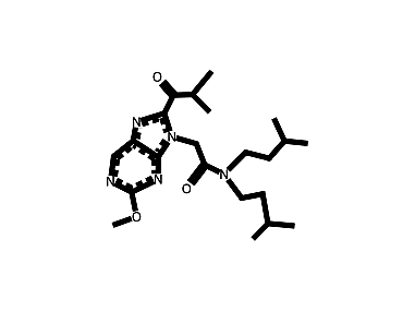 COc1ncc2nc(C(=O)C(C)C)n(CC(=O)N(CCC(C)C)CCC(C)C)c2n1